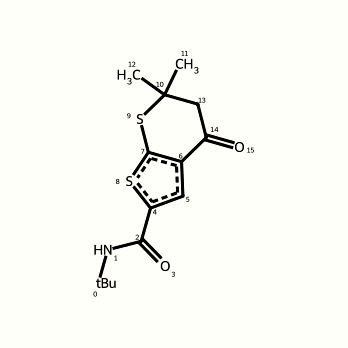 CC(C)(C)NC(=O)c1cc2c(s1)SC(C)(C)CC2=O